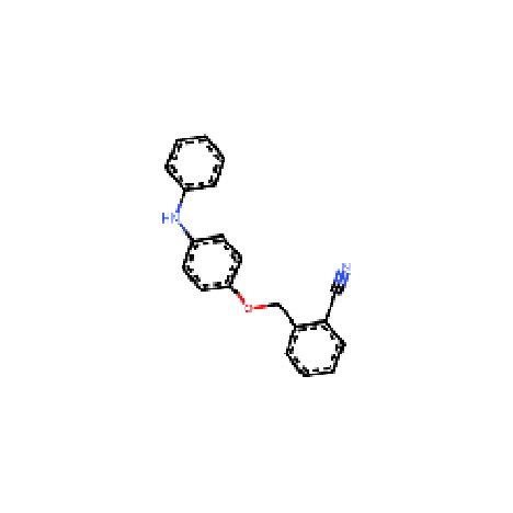 N#Cc1ccccc1COc1ccc(Nc2ccccc2)cc1